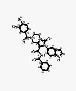 O=C(NC(=O)c1c2n(c(=O)n1-c1ccc3[nH]ccc3c1)CCN(C(=O)c1ccc(Br)c(Cl)c1)C2)c1ccccc1